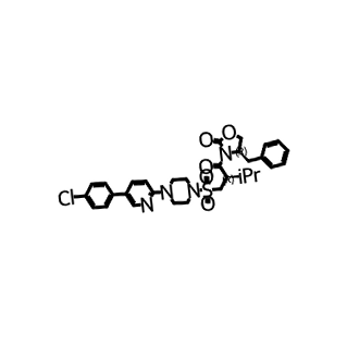 CC(C)[C@@H](CS(=O)(=O)N1CCN(c2ccc(-c3ccc(Cl)cc3)cn2)CC1)C(=O)N1C(=O)OC[C@H]1Cc1ccccc1